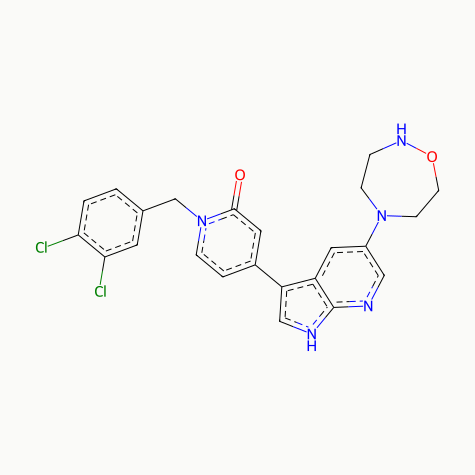 O=c1cc(-c2c[nH]c3ncc(N4CCNOCC4)cc23)ccn1Cc1ccc(Cl)c(Cl)c1